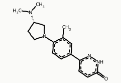 Cc1cc(-c2ccc(=O)[nH]n2)ccc1N1CC[C@H](N(C)C)C1